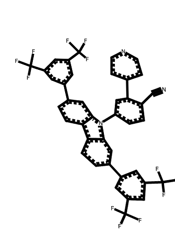 N#Cc1ccc(-n2c3cc(-c4cc(C(F)(F)F)cc(C(F)(F)F)c4)ccc3c3ccc(-c4cc(C(F)(F)F)cc(C(F)(F)F)c4)cc32)cc1-c1ccncc1